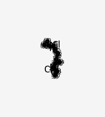 Clc1nc(-c2ccc3c(c2)sc2ccc(-c4ccc5c6ccc(-c7nc(Cl)nc(-c8cccc9c8oc8ccccc89)n7)cc6c6ccccc6c5c4)cc23)nc(-c2ccc3c4ccccc4c4ccccc4c3c2)n1